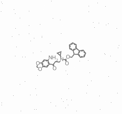 Nc1cc2c(cc1C(=O)CCN(C(=O)OCC1c3ccccc3-c3ccccc31)C1CC1)OCO2